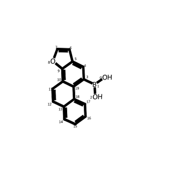 OB(O)c1cc2ccoc2c2ccc3ccccc3c12